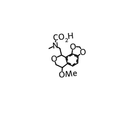 COC1COC(CN(C)C(=O)O)c2c1ccc1c2OCO1